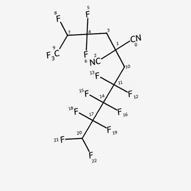 N#CC(C#N)(CC(F)(F)C(F)C(F)(F)F)CC(F)(F)C(F)(F)C(F)(F)C(F)F